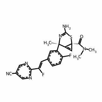 CN(C)C(=O)[C@]12C=C1[C@@](C)(c1cc(/C=C(\F)c3ncc(C#N)cn3)ccc1F)N=C(N)S2